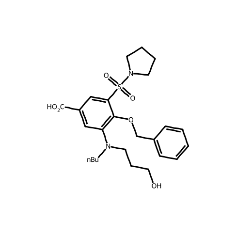 CCCCN(CCCO)c1cc(C(=O)O)cc(S(=O)(=O)N2CCCC2)c1OCc1ccccc1